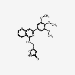 COc1cc(-c2cc3ncccc3c(NCc3cc(=O)[nH]o3)n2)cc(OC)c1OC